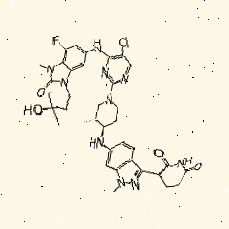 C[C@@H]1CN(c2ncc(Cl)c(Nc3cc(F)c4c(c3)n(CCC(C)(C)O)c(=O)n4C)n2)CC[C@H]1Nc1ccc2c(C3CCC(=O)NC3=O)nn(C)c2c1